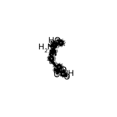 Cn1c(=O)n(C2CCC(=O)NC2=O)c2cccc(CCCN3CCC(Cn4cc(-c5cc(-c6ccccc6O)nnc5N)cn4)CC3)c21